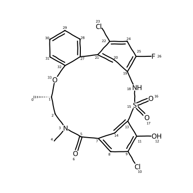 C[C@H]1CN(C)C(=O)c2cc(Cl)c(O)c(c2)S(=O)(=O)Nc2cc(c(Cl)cc2F)-c2ccccc2O1